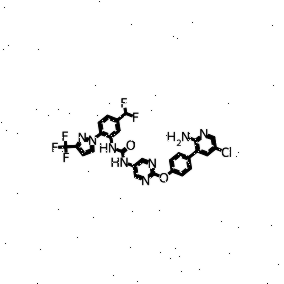 Nc1ncc(Cl)cc1-c1ccc(Oc2ncc(NC(=O)Nc3cc(C(F)F)ccc3-n3ccc(C(F)(F)F)n3)cn2)cc1